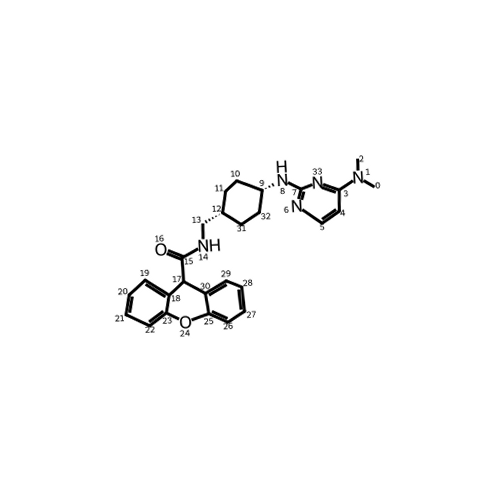 CN(C)c1ccnc(N[C@H]2CC[C@@H](CNC(=O)C3c4ccccc4Oc4ccccc43)CC2)n1